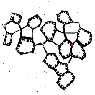 c1ccc(-n2c3ccccc3c3ccc(N(c4cccc5c4-c4ccccc4C54c5ccccc5Oc5ccccc54)c4cccc5c4-c4ccccc4C54c5ccccc5Sc5ccccc54)cc32)cc1